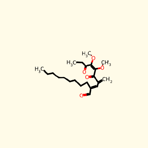 C=C(/C=C(/C=O)CCCCCCCCC)C(=O)/C(OC)=C(/OC)C(=O)CC